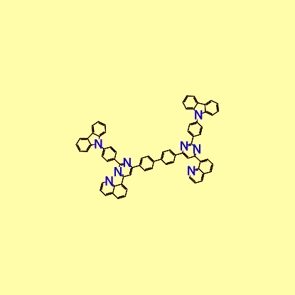 c1cnc2c(-c3cc(-c4ccc(-c5ccc(-c6cc(-c7cccc8cccnc78)nc(-c7ccc(-n8c9ccccc9c9ccccc98)cc7)n6)cc5)cc4)nc(-c4ccc(-n5c6ccccc6c6ccccc65)cc4)n3)cccc2c1